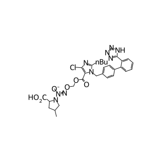 CCCCc1nc(Cl)c(C(=O)OCO/N=[N+](\[O-])N2CC(C)CC2C(=O)O)n1Cc1ccc(-c2ccccc2-c2nnn[nH]2)cc1